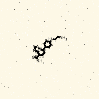 NCCNc1ccc(-c2ccc(C(N)=O)c3n[c]nn23)cc1